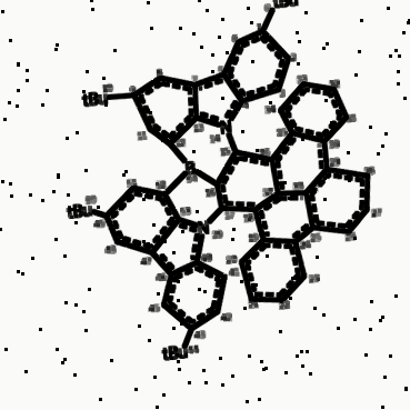 CC(C)(C)c1ccc2c(c1)c1cc(C(C)(C)C)cc3c1n2-c1c2c(c4c5ccccc5c5cccc6c7ccccc7c1c4c65)-n1c4ccc(C(C)(C)C)cc4c4cc(C(C)(C)C)cc(c41)B23